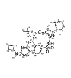 Cc1cccc(C)c1-c1nc2nc(c1C)OC[C@@H](CC(C)(C)C)C(Cc1cncc(N(C)C3CCC3)n1)c1cccc(c1)S(=O)(=O)N2